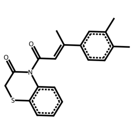 C/C(=C\C(=O)N1C(=O)CSc2ccccc21)c1ccc(C)c(C)c1